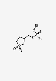 CCOP(=S)(CC)SCC1CCS(=O)(=O)C1